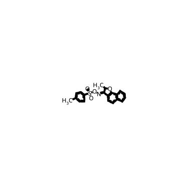 Cc1ccc(S(=O)(=O)O/N=C2/c3ccc4ccccc4c3OC2C)cc1